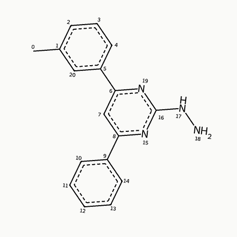 Cc1cccc(-c2cc(-c3ccccc3)nc(NN)n2)c1